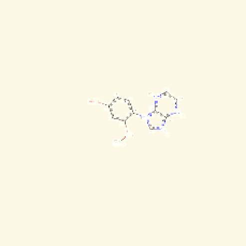 CCOc1cc(O)ccc1-n1cnc2nccnc21